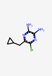 Nc1nc(Br)c(CC2CC2)nc1N